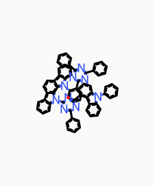 c1ccc(-c2nc(-c3ccccc3)nc(-c3ccccc3-n3c4ccccc4c4ccc5c6ccccc6n(-c6nc(-c7ccccc7)nc(-c7cccc8c7c7ccccc7n8-c7ccccc7)n6)c5c43)n2)cc1